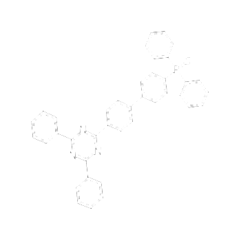 S=P(c1ccccc1)(c1ccccc1)c1ccc(-c2ccc(-c3nc(-c4ccccc4)nc(-c4ccccc4)n3)cc2)cc1